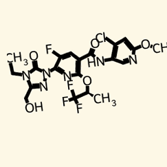 CCn1c(CO)nn(-c2nc(O[C@@H](C)C(F)(F)F)c(C(=O)Nc3cnc(OC)cc3Cl)cc2F)c1=O